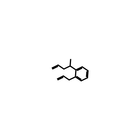 C=CC[C](C)c1ccccc1CC=C